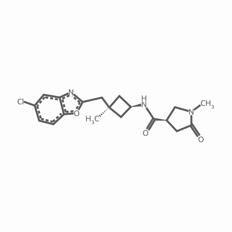 CN1C[C@H](C(=O)N[C@H]2C[C@@](C)(Cc3nc4cc(Cl)ccc4o3)C2)CC1=O